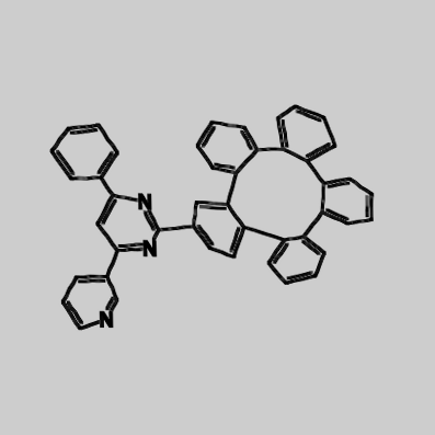 c1ccc(-c2cc(-c3cccnc3)nc(-c3ccc4c5ccccc5c5ccccc5c5ccccc5c5ccccc5c4c3)n2)cc1